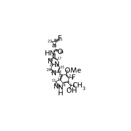 COc1c(F)c(C(C)O)c2[nH]ncc2c1-c1cn2cc(NC(=O)[C@@H]3C[C@@H]3F)nc2cn1